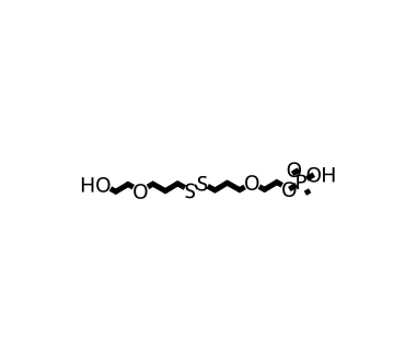 CP(=O)(O)OCCOCCCSSCCCOCCO